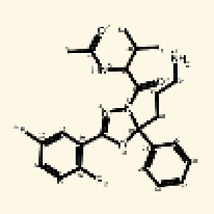 CC(=O)NC(C(=O)N1N=C(c2cc(F)ccc2F)OC1(CCCN)c1ccccc1)C(C)C